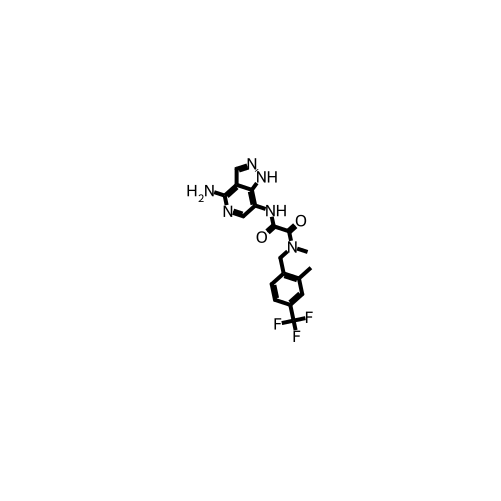 Cc1cc(C(F)(F)F)ccc1CN(C)C(=O)C(=O)Nc1cnc(N)c2cn[nH]c12